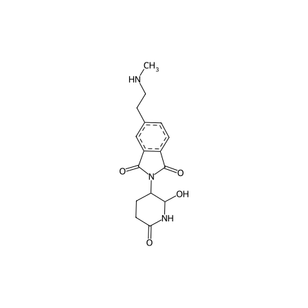 CNCCc1ccc2c(c1)C(=O)N(C1CCC(=O)NC1O)C2=O